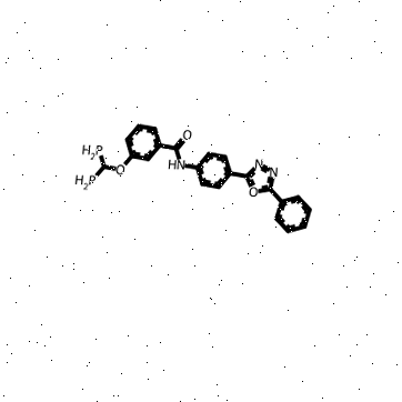 O=C(Nc1ccc(-c2nnc(-c3ccccc3)o2)cc1)c1cccc(OC(P)P)c1